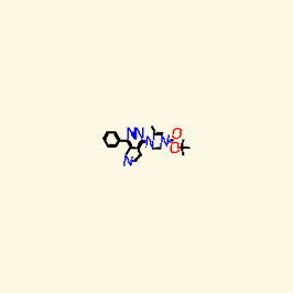 CC1CN(C(=O)OC(C)(C)C)CCN1c1nnc(-c2ccccc2)c2cnccc12